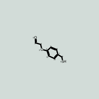 O=[C]COc1ccc(CS)cc1